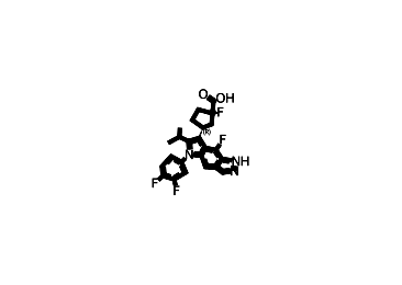 CC(C)c1c([C@@H]2CC[C@@](F)(C(=O)O)C2)c2c(F)c3[nH]ncc3cc2n1-c1ccc(F)c(F)c1